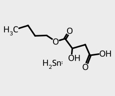 CCCCOC(=O)C(O)CC(=O)O.[SnH2]